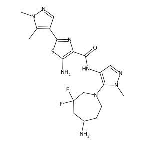 Cc1c(-c2nc(C(=O)Nc3cnn(C)c3N3CCC(N)CC(F)(F)C3)c(N)s2)cnn1C